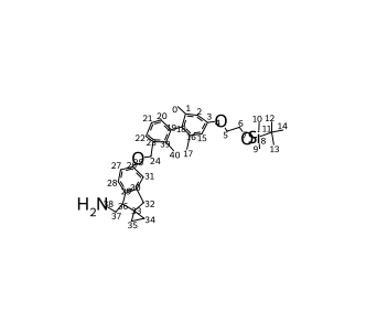 Cc1cc(OCCO[Si](C)(C)C(C)(C)C)cc(C)c1-c1cccc(COc2ccc3c(c2)CC2(CC2)C3CN)c1C